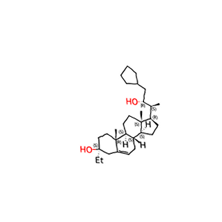 CC[C@]1(O)CC[C@@]2(C)C(=CC[C@H]3[C@@H]4CC[C@H]([C@H](C)[C@H](O)CC5CCCC5)[C@@]4(C)CC[C@@H]32)C1